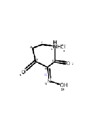 Cl.O=C1CCNC(=O)/C1=N\O